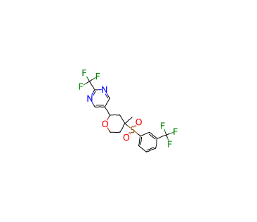 CC1(S(=O)(=O)c2cccc(C(F)(F)F)c2)CCOC(c2cnc(C(F)(F)F)nc2)C1